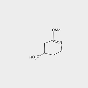 COC1=NCCC(C(=O)O)C1